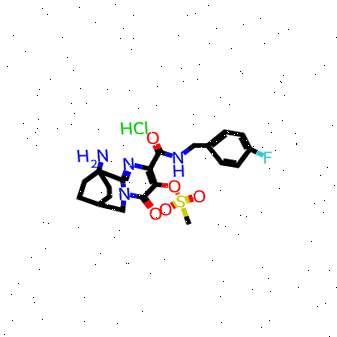 CS(=O)(=O)Oc1c(C(=O)NCc2ccc(F)cc2)nc2n(c1=O)CC1CCC2(N)CC1.Cl